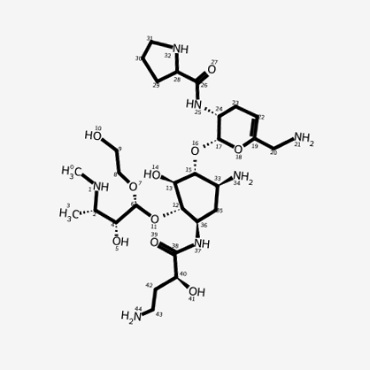 CN[C@@H](C)[C@@H](O)[C@H](OCCO)O[C@@H]1[C@@H](O)[C@H](O[C@H]2OC(CN)=CC[C@H]2NC(=O)C2CCCN2)[C@@H](N)C[C@H]1NC(=O)[C@@H](O)CCN